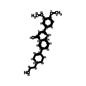 COc1ccc(-c2cc(=O)n3cc(C4=CCN(CCO)CC4)ccc3n2)cc1OC